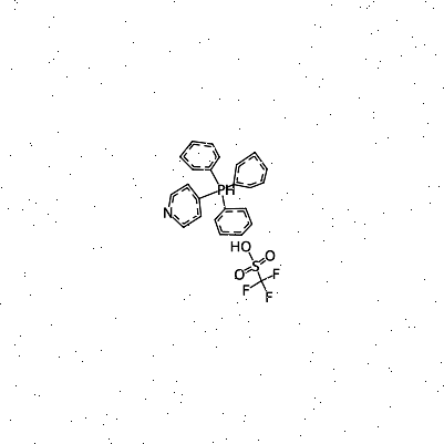 O=S(=O)(O)C(F)(F)F.c1ccc([PH](c2ccccc2)(c2ccccc2)c2ccncc2)cc1